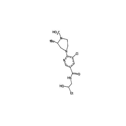 CCC(O)CNC(=O)c1cnc(N2CCN(C(=O)O)C(C(C)(C)C)C2)c(Cl)c1